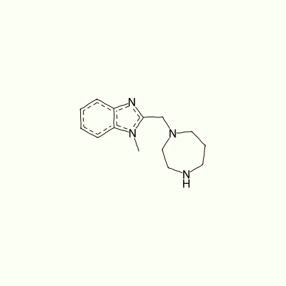 Cn1c(CN2CCCNCC2)nc2ccccc21